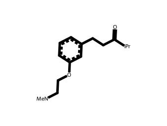 CNCCOc1cccc(CCC(=O)C(C)C)c1